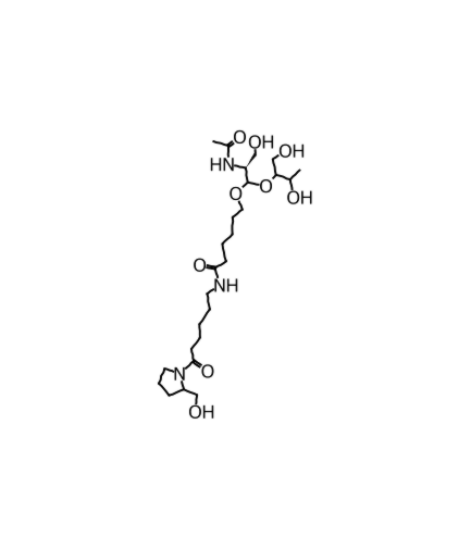 CC(=O)N[C@@H](CO)C(OCCCCCC(=O)NCCCCCC(=O)N1CCCC1CO)OC(CO)C(C)O